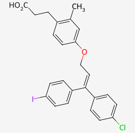 Cc1cc(OC/C=C(/c2ccc(Cl)cc2)c2ccc(I)cc2)ccc1CCC(=O)O